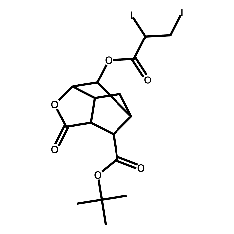 CC(C)(C)OC(=O)C1C2CC3C(OC(=O)C31)C2OC(=O)C(I)CI